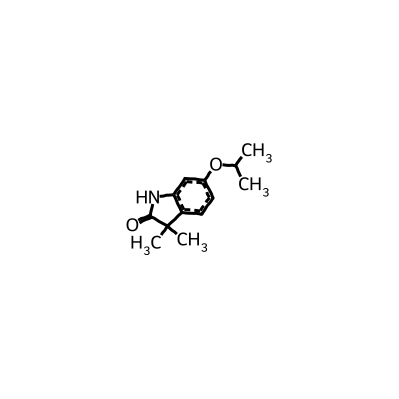 CC(C)Oc1ccc2c(c1)NC(=O)C2(C)C